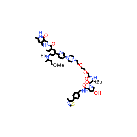 C/C=C(/C=C(\C=C\N(CC)C(C)CCOC)c1ccc(N2CCN(CCOCCOCC(=O)N[C@H](C(=O)N3C[C@H](O)C[C@H]3C(=O)NCc3ccc(-c4scnc4C)cc3)C(C)(C)C)CC2)cn1)C(=O)NCc1c(C)cc(C)[nH]c1=O